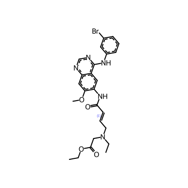 CCOC(=O)CN(CC)C/C=C/C(=O)Nc1cc2c(Nc3cccc(Br)c3)ncnc2cc1OC